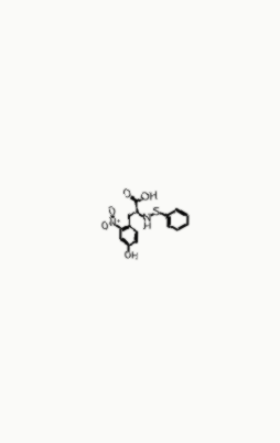 O=C(O)[C@H](Cc1ccc(O)cc1[N+](=O)[O-])NSc1ccccc1